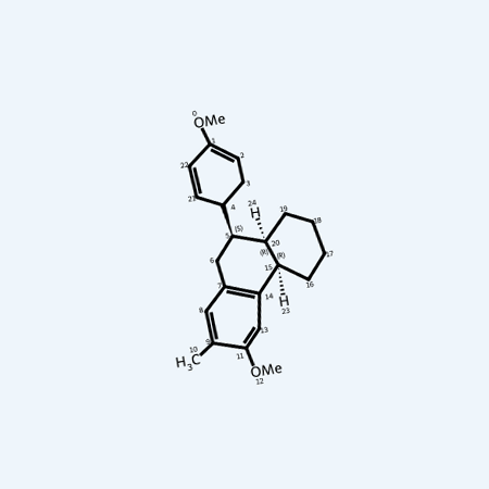 COC1=CCC([C@@H]2Cc3cc(C)c(OC)cc3[C@@H]3CCCC[C@@H]32)C=C1